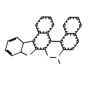 ClP1Nc2c3c(c4ccccc4c2-c2c1ccc1ccccc21)C1C=CC=CC1S3